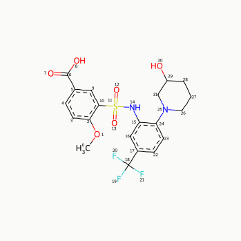 COc1ccc(C(=O)O)cc1S(=O)(=O)Nc1cc(C(F)(F)F)ccc1N1CCCC(O)C1